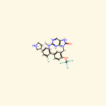 O=c1[nH]c2cnc(NC[C@@H]3CCNC3)nc2n1Cc1cc(-c2ccccc2F)ccc1OC(F)(F)F